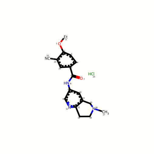 CCOc1ccc(C(=O)Nc2cnc3c(c2)CN(C)CC3)cc1C#N.Cl